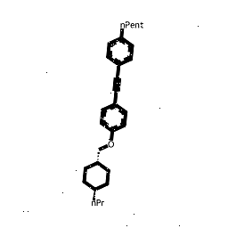 CCCCCc1ccc(C#Cc2ccc(OC[C@H]3CC[C@H](CCC)CC3)cc2)cc1